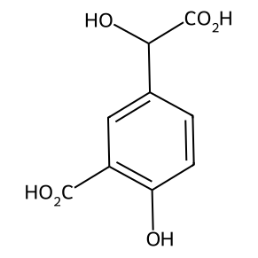 O=C(O)c1cc(C(O)C(=O)O)ccc1O